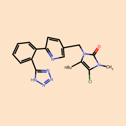 CCCCc1c(Cl)n(C)c(=O)n1Cc1ccc(-c2ccccc2-c2nnn[nH]2)nc1